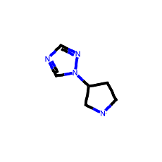 c1ncn(C2CC[N]C2)n1